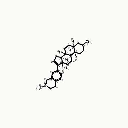 C[C@H]1CC[C@H]2[C@@H](CC[C@@H]3[C@@H]2CC[C@]2(C)C(c4ccc5c(c4)CN(C)CC5)=CC[C@@H]32)C1